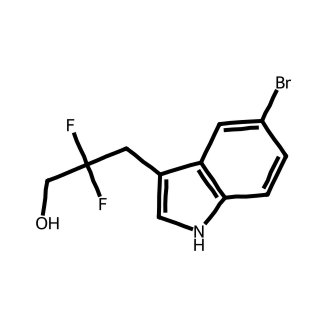 OCC(F)(F)Cc1c[nH]c2ccc(Br)cc12